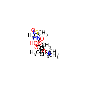 Cc1cc(OCCN(C)C)c(C(C)C)cc1C(OCC(=O)NCC(C)(C)SN=O)C(=O)O